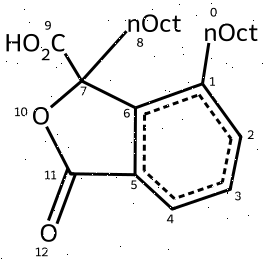 CCCCCCCCc1cccc2c1C(CCCCCCCC)(C(=O)O)OC2=O